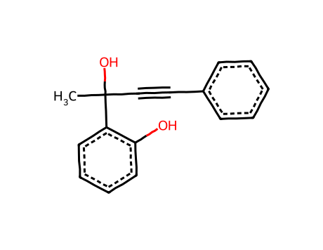 CC(O)(C#Cc1ccccc1)c1ccccc1O